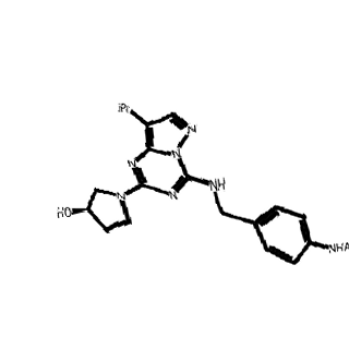 CC(=O)Nc1ccc(CNc2nc(N3CC[C@@H](O)C3)nc3c(C(C)C)cnn23)cc1